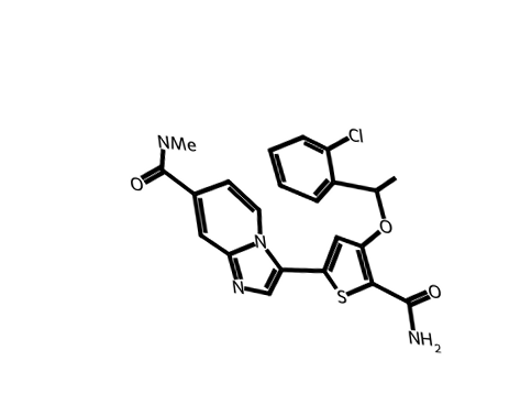 CNC(=O)c1ccn2c(-c3cc(OC(C)c4ccccc4Cl)c(C(N)=O)s3)cnc2c1